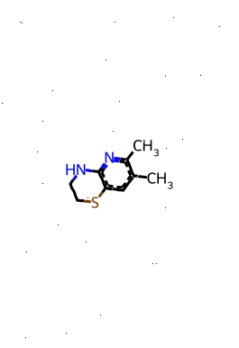 Cc1cc2c(nc1C)NCCS2